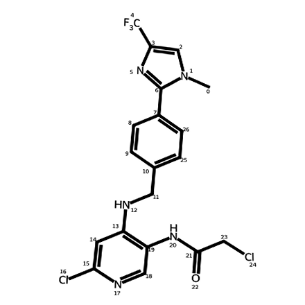 Cn1cc(C(F)(F)F)nc1-c1ccc(CNc2cc(Cl)ncc2NC(=O)CCl)cc1